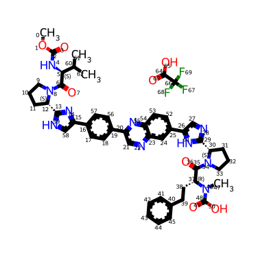 COC(=O)N[C@H](C(=O)N1CCC[C@H]1c1nc(-c2ccc(-c3cnc4cc(-c5cnc([C@@H]6CCCN6C(=O)[C@@H](CCc6ccccc6)N(C)C(=O)O)[nH]5)ccc4n3)cc2)c[nH]1)C(C)C.O=C(O)C(F)(F)F